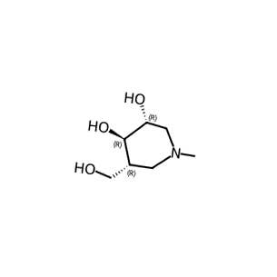 CN1C[C@H](CO)[C@@H](O)[C@H](O)C1